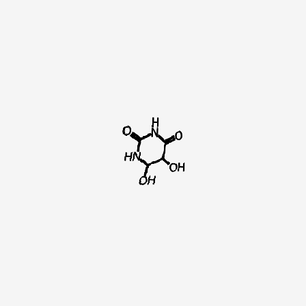 O=C1NC(=O)C(O)C(O)N1